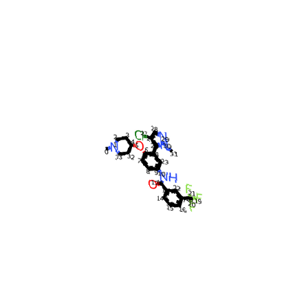 CN1CCC(Oc2ccc(NC(=O)c3cccc(C(F)(F)F)c3)cc2-c2c(Cl)cnn2C)CC1